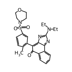 CCN(CC)C1=NC2=C(c3cc(S(=O)(=O)N4CCOCC4)ccc3C)C(=O)c3ccccc3C2=N1